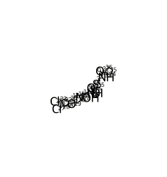 O=C(NCc1ccc(S(=O)(=O)NC[C@@H](O)CN2CCC(Oc3ccc(Cl)c(Cl)c3)CC2)s1)c1ccccc1